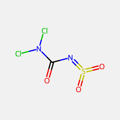 O=C(N=S(=O)=O)N(Cl)Cl